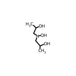 CC(O)CN(O)CC(C)O